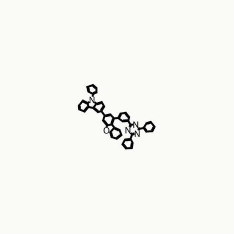 c1ccc(-c2nc(-c3ccccc3)nc(-c3cccc(-c4cc(-c5ccc6c(c5)c5ccccc5n6-c5ccccc5)cc5oc6ccccc6c45)c3)n2)cc1